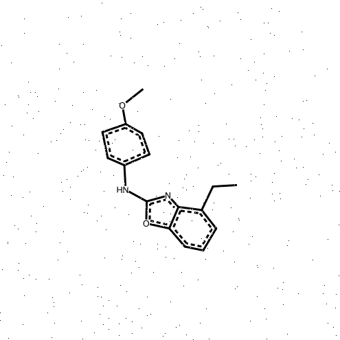 CCc1cccc2oc(Nc3ccc(OC)cc3)nc12